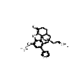 C=CCN1CC[C@@]23c4c5c(-c6ccoc6)cc(OC)c4OC2C(=O)CCC3C1C5